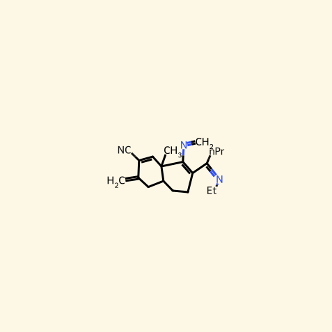 C=NC1=C(/C(CCC)=N\CC)CCC2CC(=C)C(C#N)=CC12C